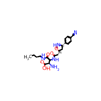 CCCCNC(=O)C(NC(=O)C[C@H]1C[C@@H](c2ccc(C#N)cc2)NO1)C(N)C(=O)O